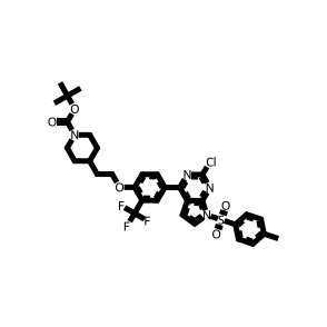 Cc1ccc(S(=O)(=O)n2ccc3c(-c4ccc(OCCC5CCN(C(=O)OC(C)(C)C)CC5)c(C(F)(F)F)c4)nc(Cl)nc32)cc1